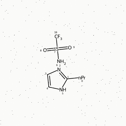 CCCc1ncc[nH]1.NS(=O)(=O)C(F)(F)F